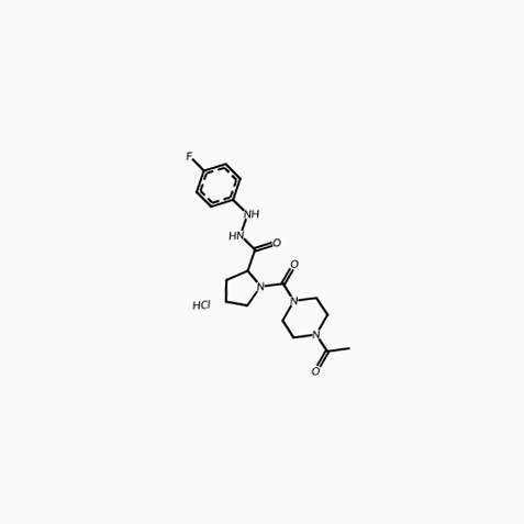 CC(=O)N1CCN(C(=O)N2CCCC2C(=O)NNc2ccc(F)cc2)CC1.Cl